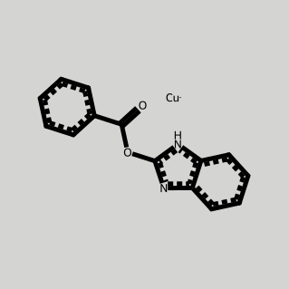 O=C(Oc1nc2ccccc2[nH]1)c1ccccc1.[Cu]